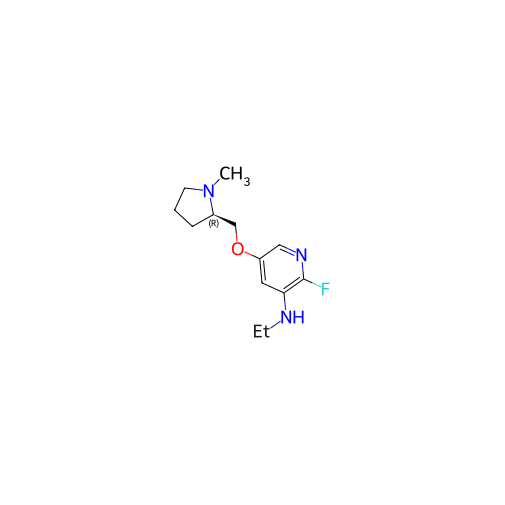 CCNc1cc(OC[C@H]2CCCN2C)cnc1F